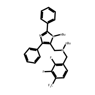 CCCCN(Cc1ccc(C(F)(F)F)c(F)c1F)Cc1c(-c2ccccc2)nc(-c2ccccc2)n1CCCC